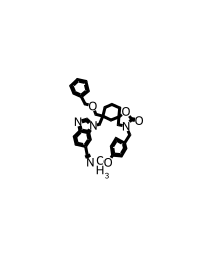 COc1ccc(CN2CC3(CCCC(COCc4ccccc4)(Cn4cnc5ccc(C#N)cc54)C3)OC2=O)cc1